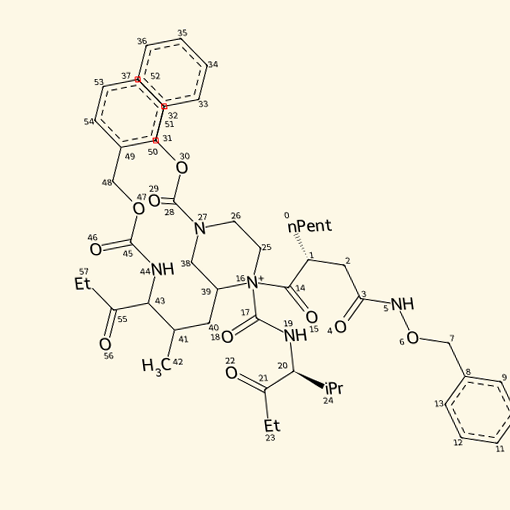 CCCCC[C@H](CC(=O)NOCc1ccccc1)C(=O)[N+]1(C(=O)N[C@H](C(=O)CC)C(C)C)CCN(C(=O)OCc2ccccc2)CC1CC(C)C(NC(=O)OCc1ccccc1)C(=O)CC